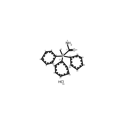 CP(C(N)=O)(c1ccccc1)(c1ccccc1)c1ccccc1.Cl